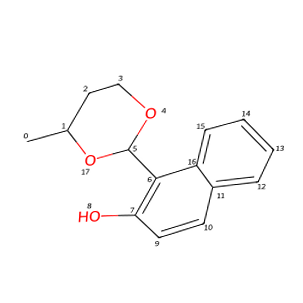 CC1CCOC(c2c(O)ccc3ccccc23)O1